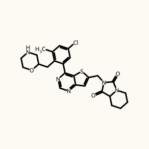 Cc1cc(Cl)cc(-c2ncnc3cc(CN4C(=O)C5CCCCN5C4=O)sc23)c1CC1CNCCO1